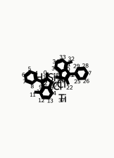 CC1=C(c2ccccc2)c2c(C)cccc2C1(Cl)[SiH2]C1(Cl)C(C)=C(c2ccccc2)c2c(C)cccc21.[Ti]